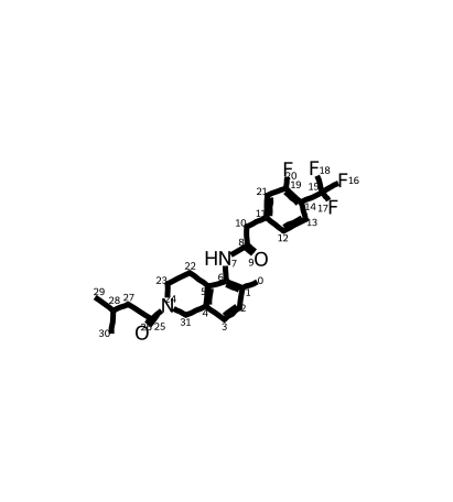 Cc1ccc2c(c1NC(=O)Cc1ccc(C(F)(F)F)c(F)c1)CCN(C(=O)CC(C)C)C2